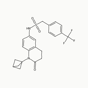 O=C1CCc2cc(NS(=O)(=O)Cc3ccc(C(F)(F)F)cc3)ccc2N1C12CC(C1)C2